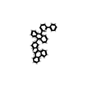 c1ccc(-c2cccc(-c3c4ccccc4c(-c4ccc5sc6c7ccccc7c7ccccc7c6c5c4)c4ccccc34)n2)cc1